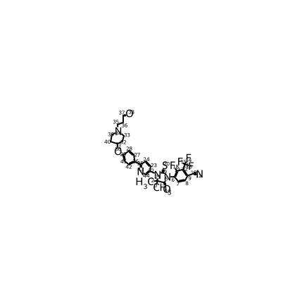 CC1(C)C(=O)N(c2ccc(C#N)c(C(F)(F)F)c2F)C(=S)N1c1ccc(-c2ccc(OC3CCN(CCC=O)CC3)cc2)nc1